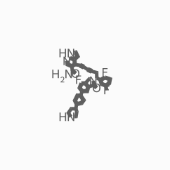 NC(=O)c1cnc2[nH]ccc2c1C#CC#CCC(c1cc(F)ccc1F)N1Cc2c(F)cc(-c3ccc(C4CCNCC4)cc3)cc2C1=O